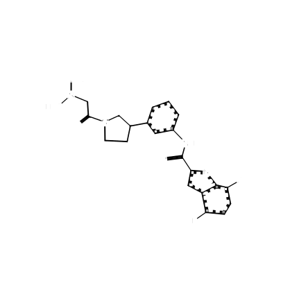 Cc1ccc(F)c2cc(C(=O)Nc3cccc(C4CCN(C(=O)CN(C)C)C4)c3)[nH]c12